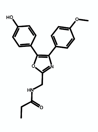 CCC(=O)NCc1nc(-c2ccc(OC)cc2)c(-c2ccc(O)cc2)o1